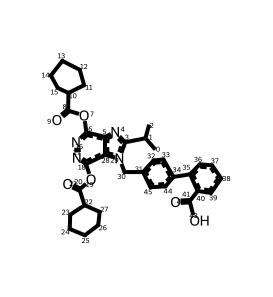 CC(C)c1nc2c(OC(=O)C3CCCCC3)nnc(OC(=O)C3CCCCC3)c2n1Cc1ccc(-c2ccccc2C(=O)O)cc1